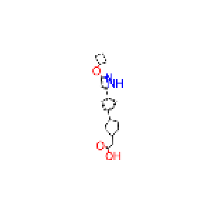 O=C(O)CC1CCC(c2ccc(-c3cc(OC4CCC4)n[nH]3)cc2)CC1